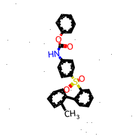 Cc1ccccc1-c1ccccc1S(=O)(=O)c1ccc(NC(=O)Oc2ccccc2)cc1